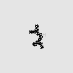 O=C(/C=C(\O)c1ccc(-n2c3ccc(-c4ccccc4)cc3c3cc(-c4ccccc4)ccc32)cc1)c1ccc(-n2c3ccc(-c4ccccc4)cc3c3cc(-c4ccccc4)ccc32)cc1